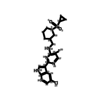 O=S(=O)(C1CC1)N1CCCC(CNc2nc(-c3c[nH]c4ncc(Cl)cc34)ncc2F)C1